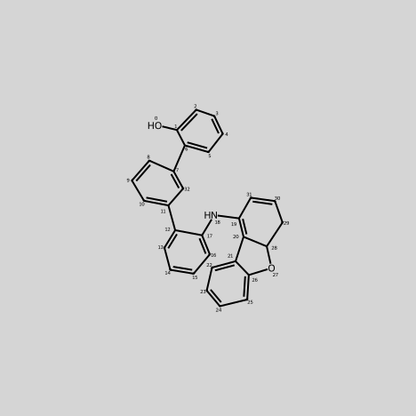 Oc1ccccc1-c1cccc(-c2ccccc2NC2=C3c4ccccc4OC3CC=C2)c1